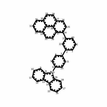 c1cc(-c2ccc(-n3c4ccccc4c4ccccc43)cc2)cc(-c2ccc3ccc4cccc5ccc2c3c45)c1